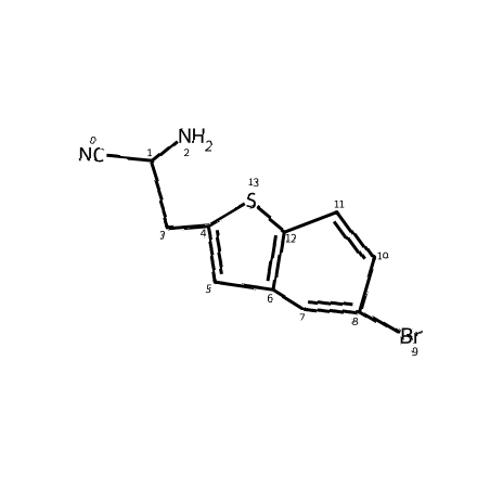 N#CC(N)Cc1cc2cc(Br)ccc2s1